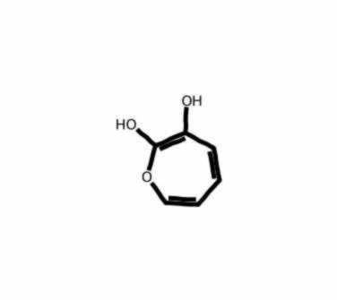 OC1=C(O)OC=CC=C1